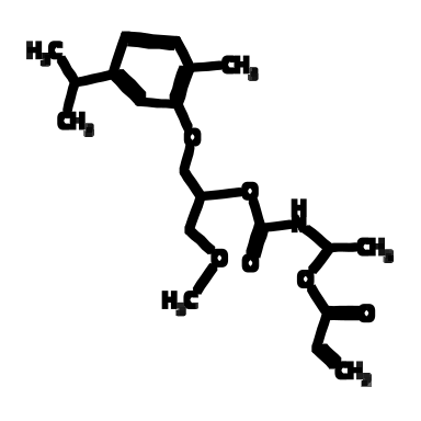 C=CC(=O)OC(C)NC(=O)OC(COC)COc1cc(C(C)C)ccc1C